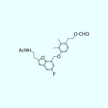 CC(=O)NCCc1cc2cc(F)cc(COc3ccc(CCOC=O)c(C)c3C)c2o1